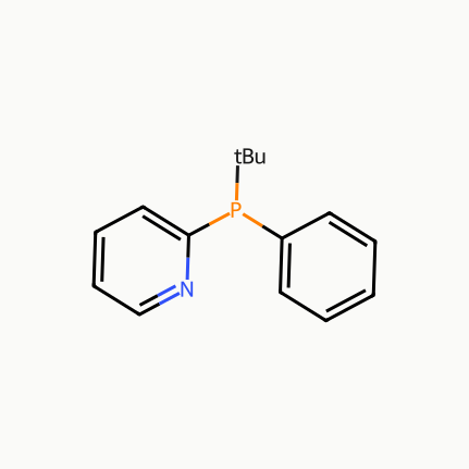 CC(C)(C)P(c1ccccc1)c1ccccn1